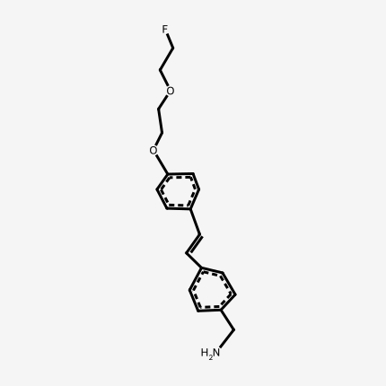 NCc1ccc(C=Cc2ccc(OCCOCCF)cc2)cc1